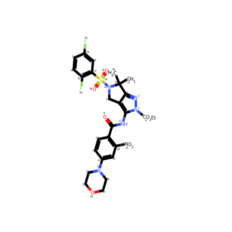 CCOC(=O)n1nc2c(c1NC(=O)c1ccc(N3CCOCC3)cc1[N+](=O)[O-])CN(S(=O)(=O)c1cc(F)ccc1F)C2(C)C